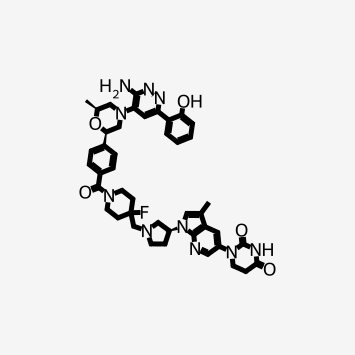 Cc1cn([C@H]2CCN(CC3(F)CCN(C(=O)c4ccc([C@@H]5CN(c6cc(-c7ccccc7O)nnc6N)C[C@H](C)O5)cc4)CC3)C2)c2ncc(N3CCC(=O)NC3=O)cc12